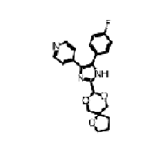 Fc1ccc(-c2[nH]c(C3OCC4(CCCO4)CO3)nc2-c2ccncc2)cc1